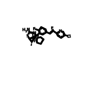 C[C@H]1[C@@H]2[C@@]1(C(=O)N1CCCC1)SC(N)=N[C@]2(C)c1cc(/C=C(\F)c2ccc(Cl)cn2)ccc1F